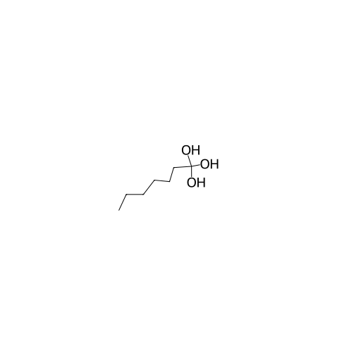 CCCCCCC(O)(O)O